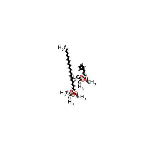 C=CCCCCCCCCCCCCCCCCCCCC[Si](OCC)(OCC)OCC.CCO[Si](CCCC1=CC=CC1)(OCC)OCC